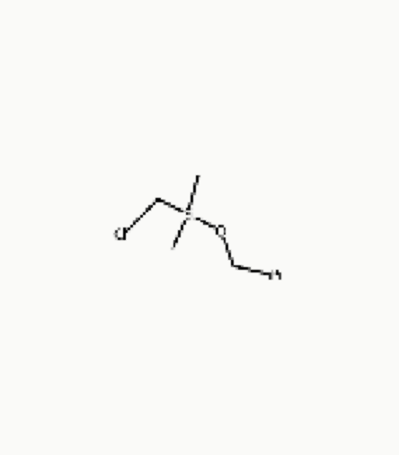 CC(C)CO[Si](C)(C)CCl